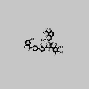 O=C(O)c1c(F)ccc2c1OB(O)[C@@H](NC(=O)C(NC(=O)N1CCN(C3CCN(C(=O)c4cc(O)ccc4F)CC3)C1=O)c1cc(F)c(O)c(O)c1Cl)C2